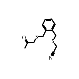 CC(=O)CSCc1ccccc1CSCC#N